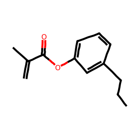 C=C(C)C(=O)Oc1cccc(CCC)c1